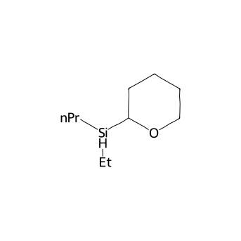 CCC[SiH](CC)C1CCCCO1